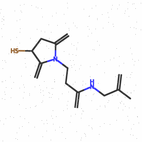 C=C(C)CNC(=C)CCN1C(=C)CC(S)C1=C